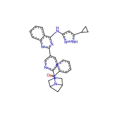 O=C(c1ccccn1)N1C2CC1CN(c1ccc(-c3nc(Nc4cc(C5CC5)[nH]n4)c4ccccc4n3)cn1)C2